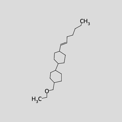 CCCCCC=CC1CCC(C2CCC(COCC)CC2)CC1